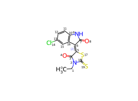 CCN1C(=O)/C(=C2/C(=O)Nc3ccc(Cl)cc32)SC1=S